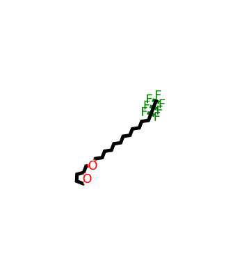 FC(F)(F)C(F)(F)C(F)(F)CCCCCCCCCCCCOCC1CCCO1